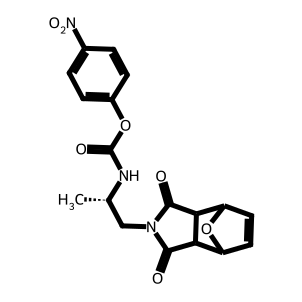 C[C@@H](CN1C(=O)C2C3C=CC(O3)C2C1=O)NC(=O)Oc1ccc([N+](=O)[O-])cc1